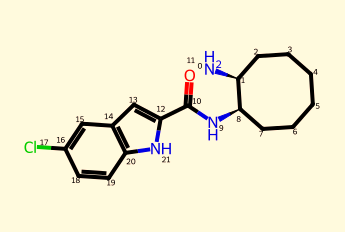 N[C@H]1CCCCCC[C@H]1NC(=O)c1cc2cc(Cl)ccc2[nH]1